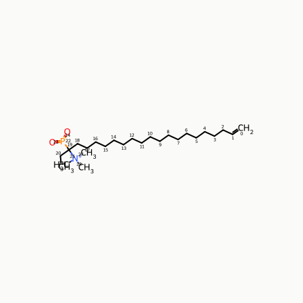 C=CCCCCCCCCCCCCCCCCCC(CC)(P(=O)=O)[N+](C)(C)C